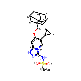 CNS(=O)(=O)Nc1nnc2cc(OCC34CC5CC(CC(C5)C3)C4)c(C3CC3)cn12